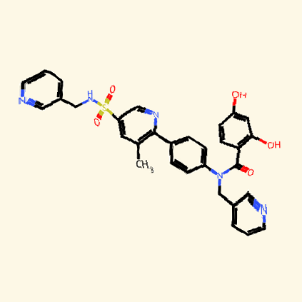 Cc1cc(S(=O)(=O)NCc2cccnc2)cnc1-c1ccc(N(Cc2cccnc2)C(=O)c2ccc(O)cc2O)cc1